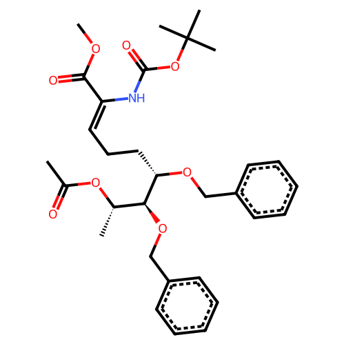 COC(=O)C(=CCC[C@H](OCc1ccccc1)[C@@H](OCc1ccccc1)[C@H](C)OC(C)=O)NC(=O)OC(C)(C)C